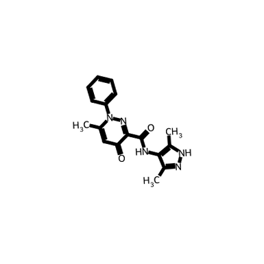 Cc1n[nH]c(C)c1NC(=O)c1nn(-c2ccccc2)c(C)cc1=O